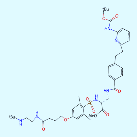 COC(=O)[C@@H](CNC(=O)c1ccc(CCc2cccc(NC(=O)OC(C)(C)C)n2)cc1)NS(=O)(=O)c1c(C)cc(OCCCC(=O)NCCNC(C)(C)C)cc1C